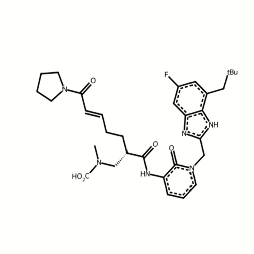 CN(C[C@H](CC/C=C/C(=O)N1CCCC1)C(=O)Nc1cccn(Cc2nc3cc(F)cc(CC(C)(C)C)c3[nH]2)c1=O)C(=O)O